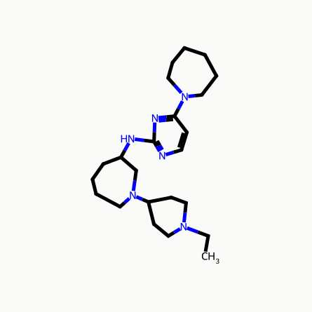 CCN1CCC(N2CCCCC(Nc3nccc(N4CCCCCC4)n3)C2)CC1